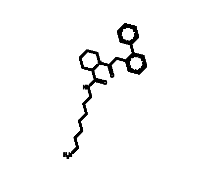 NCCCCCCCNC(=O)C1CCCCN1C(=O)Cc1ccccc1-c1ccccc1